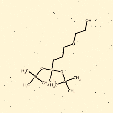 C[Si](C)(C)O[Si](C)(CCCOCCO)O[Si](C)(C)C